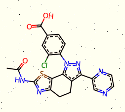 CC(=O)Nc1nc2c(s1)-c1c(c(-c3cnccn3)nn1-c1ccc(C(=O)O)cc1Cl)CC2